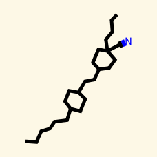 CCCCCCC1CCC(CCC2CCC(C#N)(CCCC)CC2)CC1